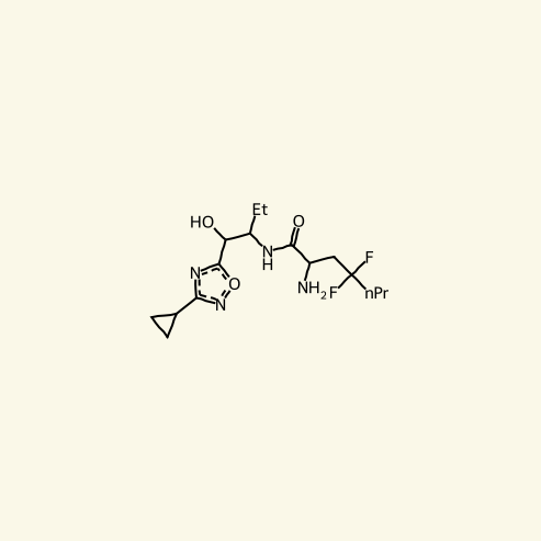 CCCC(F)(F)CC(N)C(=O)NC(CC)C(O)c1nc(C2CC2)no1